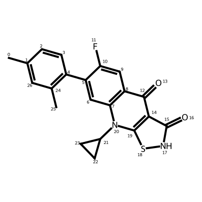 Cc1ccc(-c2cc3c(cc2F)c(=O)c2c(=O)[nH]sc2n3C2CC2)c(C)c1